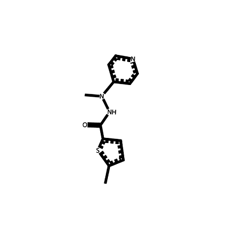 Cc1ccc(C(=O)NN(C)c2ccncc2)s1